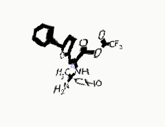 C[C@@](N)(C=O)N/C(=C/c1ccc(-c2ccccc2)o1)C(=O)OC(=O)C(F)(F)F